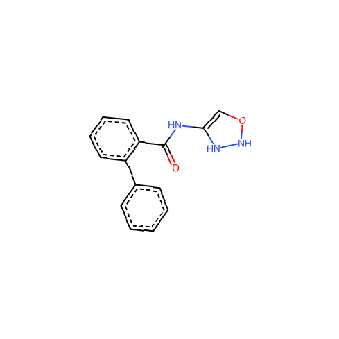 O=C(NC1=CONN1)c1ccccc1-c1ccccc1